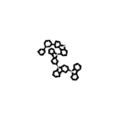 c1ccc(-c2cccc(-c3ccc4sc5cccc(-n6c7ccccc7c7ccc(-n8c9ccccc9c9cc(-n%10c%11ccccc%11c%11ccccc%11%10)ccc98)cc76)c5c4c3)c2)cc1